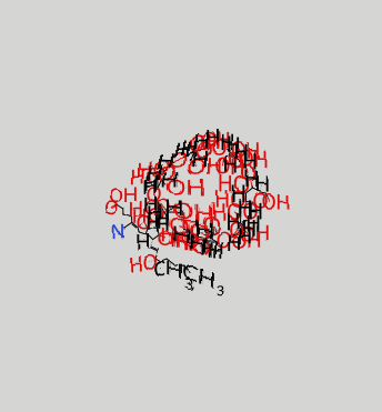 CCCC[C@H](C)[C@H](O)/C=C/[C@@H]1[C@H]2C/C(=C(\C#N)CCCC(=O)O)O[C@H]2C[C@H]1O.OC[C@H]1O[C@@H]2O[C@H]3[C@H](O)[C@@H](O)[C@@H](O[C@H]4[C@H](O)[C@@H](O)[C@@H](O[C@H]5[C@H](O)[C@@H](O)[C@@H](O[C@H]6[C@H](O)[C@@H](O)[C@@H](O[C@H]7[C@H](O)[C@@H](O)[C@@H](O[C@H]8[C@H](O)[C@@H](O)[C@@H](O[C@H]1[C@H](O)[C@H]2O)O[C@@H]8CO)O[C@@H]7CO)O[C@@H]6CO)O[C@@H]5CO)O[C@@H]4CO)O[C@@H]3CO